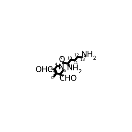 CC1=C(C=O)CN(C(=O)C(N)CCCCN)CC1C=O